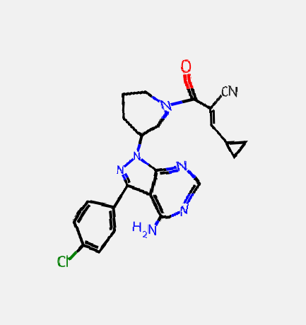 N#CC(=CC1CC1)C(=O)N1CCCC(n2nc(-c3ccc(Cl)cc3)c3c(N)ncnc32)C1